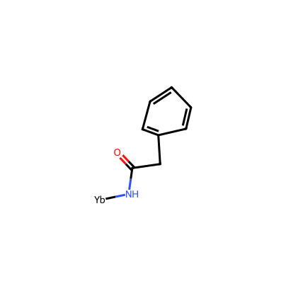 O=C(Cc1ccccc1)[NH][Yb]